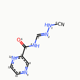 N#CNN=CNC(=O)c1cnccn1